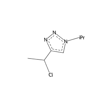 CC(Cl)c1cn(C(C)C)nn1